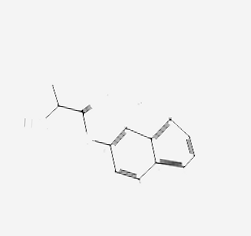 CC(O)C(=O)Oc1ccc2ccccc2c1.P